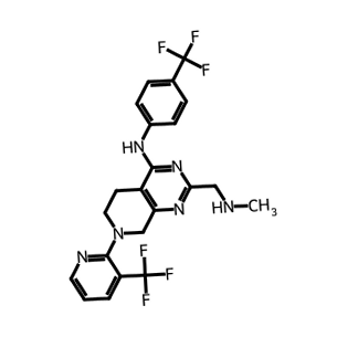 CNCc1nc2c(c(Nc3ccc(C(F)(F)F)cc3)n1)CCN(c1ncccc1C(F)(F)F)C2